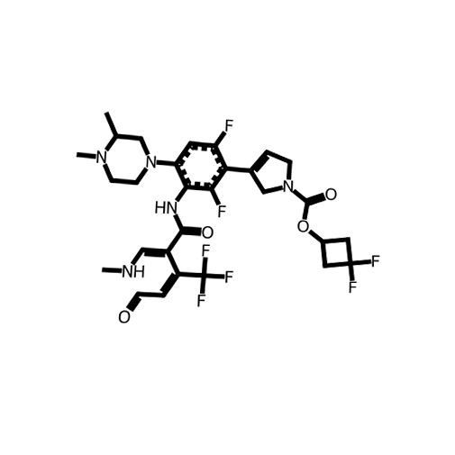 CN/C=C(C(=O)Nc1c(N2CCN(C)C(C)C2)cc(F)c(C2=CCN(C(=O)OC3CC(F)(F)C3)C2)c1F)\C(=C/C=O)C(F)(F)F